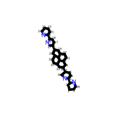 c1ccc(-c2ccc(-c3cc4ccc5cc(-c6ccc(-c7ccccn7)nc6)cc6ccc(c3)c4c56)cn2)nc1